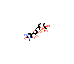 CCC(C)(C[C@H]1OC(c2c[nH]c(=O)n(C)c2=O)[C@H](O)[C@@H]1O)OP(=O)(O)C(C)(O)CC